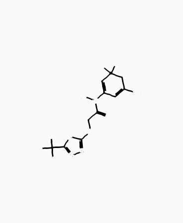 CC1=CC(N(C)C(=O)COc2nnc(C(F)(F)F)s2)=CC(C)(C)C1